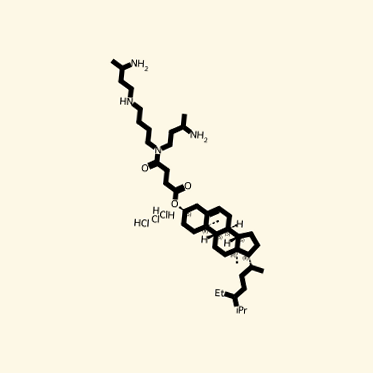 CCC(CCC(C)[C@H]1CC[C@H]2[C@@H]3CC=C4C[C@@H](OC(=O)CCC(=O)N(CCCCNCCC(C)N)CCC(C)N)CC[C@]4(C)[C@H]3CC[C@]12C)C(C)C.Cl.Cl.Cl